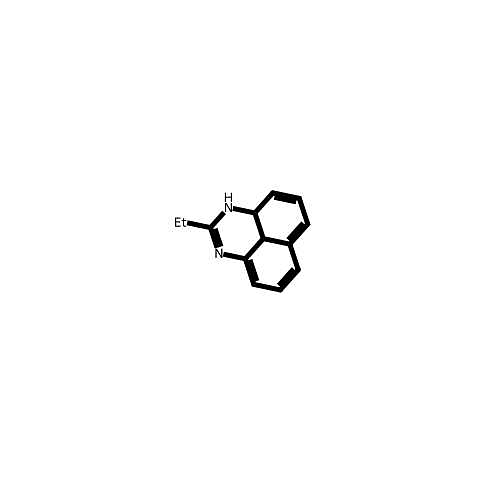 CCC1=NC2=CC=CC3=CC=CC(N1)C32